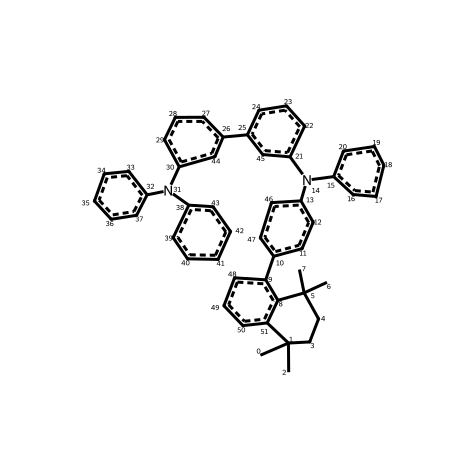 CC1(C)CCC(C)(C)c2c(-c3ccc(N(c4ccccc4)c4cccc(-c5cccc(N(c6ccccc6)c6ccccc6)c5)c4)cc3)cccc21